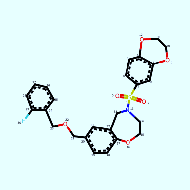 O=S(=O)(c1ccc2c(c1)OCCO2)N1CCOc2ccc(COCc3ccccc3F)cc2C1